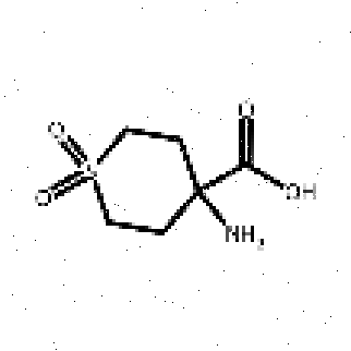 NC1(C(=O)O)CCS(=O)(=O)CC1